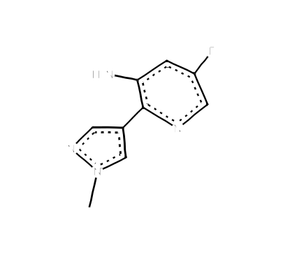 Cn1cc(-c2ncc(F)cc2N)cn1